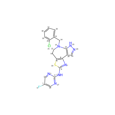 Fc1cnc(Nc2nc3c(s2)CCN(Cc2ccccc2Cl)c2[nH]ncc2-3)nc1